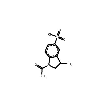 CC(=O)N1CC(C)c2cc(S(=O)(=O)Cl)ccc21